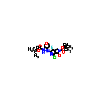 CC(C)(C)OC(=O)NC1COCCC1Nc1nc(Cl)c2c(c1F)CN(C(=O)OC(C)(C)C)C2=O